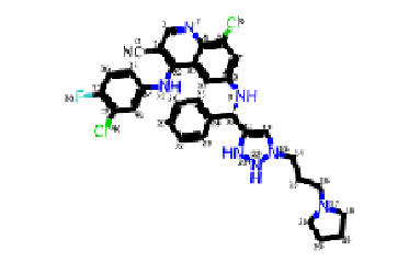 N#Cc1cnc2c(Cl)cc(N[C@H](C3=CN(CCCN4CCCC4)NN3)c3ccccc3)cc2c1Nc1ccc(F)c(Cl)c1